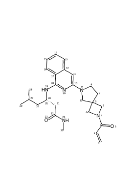 C=CC(=O)N1CC2(CCN(c3cc4ccccc4c(N[C@H](CC(=O)NC)CC(C)C)n3)C2)C1